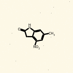 Cc1cc2c(c([N+](=O)[O-])c1)CC(=O)N2